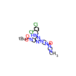 CN1CCN(C(=O)N2CCN(c3nc4c(c(NCc5ccc(Cl)cc5Cl)n3)CN(C(=O)OC(C)(C)C)CC4)CC2)CC1